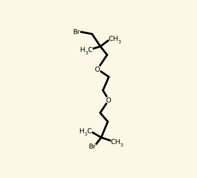 CC(C)(Br)CCOCCOCC(C)(C)CBr